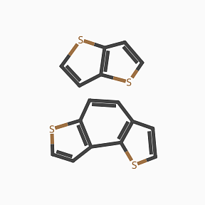 c1cc2c(ccc3ccsc32)s1.c1cc2sccc2s1